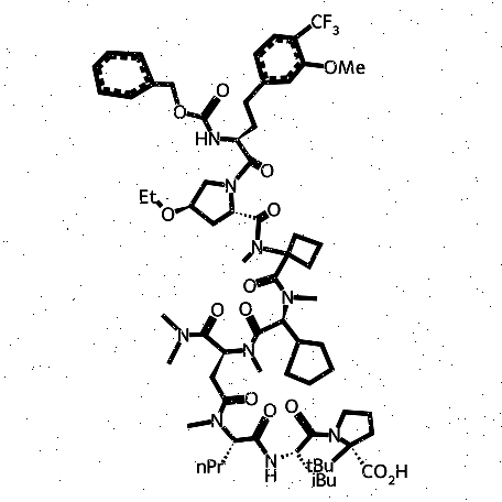 CCC[C@@H](C(=O)N[C@H](C(=O)N1CCC[C@@]1(C(=O)O)C(C)(C)C)[C@@H](C)CC)N(C)C(=O)C[C@@H](C(=O)N(C)C)N(C)C(=O)[C@H](C1CCCC1)N(C)C(=O)C1(N(C)C(=O)[C@@H]2C[C@@H](OCC)CN2C(=O)[C@H](CCc2ccc(C(F)(F)F)c(OC)c2)NC(=O)OCc2ccccc2)CCC1